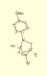 COc1ccc(N2C[C@@H]3C[C@H]2CN3C(C)=O)cc1